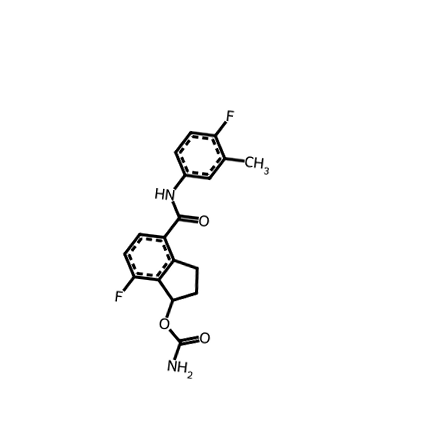 Cc1cc(NC(=O)c2ccc(F)c3c2CCC3OC(N)=O)ccc1F